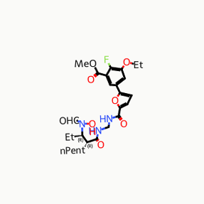 CCCCC[C@@H](C(=O)NCNC(=O)c1ccc(-c2cc(OCC)c(F)c(C(=O)OC)c2)o1)[C@@H](CC)N(O)C=O